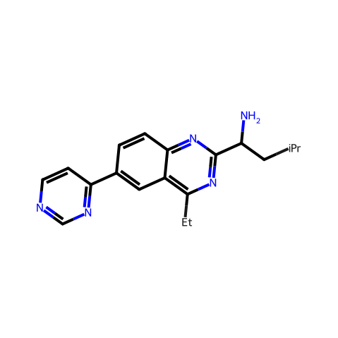 CCc1nc(C(N)CC(C)C)nc2ccc(-c3ccncn3)cc12